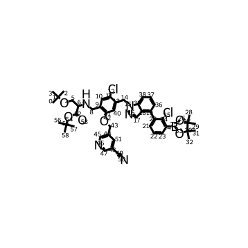 CC(C)(C)OCC(NCc1cc(Cl)c(Cn2ncc3c(-c4cccc(B5OC(C)(C)C(C)(C)O5)c4Cl)cccc32)cc1OCc1cncc(C#N)c1)C(=O)OC(C)(C)C